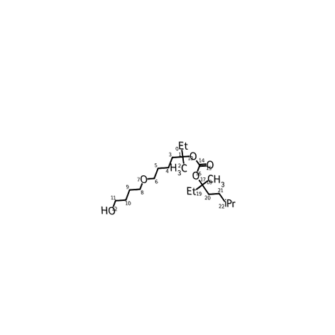 CCC(C)(CCCCOCCCCO)OC(=O)OC(C)(CC)CCC(C)C